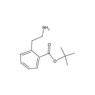 CC(C)(C)OC(=O)c1ccccc1CCN